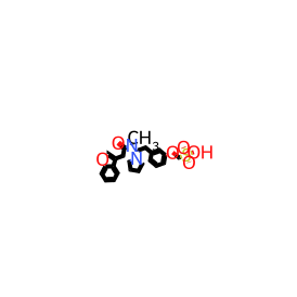 CN(C(=O)Cc1coc2ccccc12)C(Cc1cccc(OCS(=O)(=O)O)c1)N1CCCC1